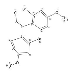 COc1ccc(C(CCl)c2ccc(OC)cc2Br)c(Br)c1